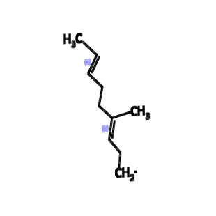 [CH2]C/C=C(\C)CC/C=C/C